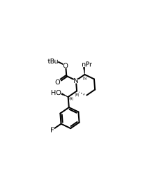 CCC[C@H]1CCC[C@H]([C@H](O)c2cccc(F)c2)N1C(=O)OC(C)(C)C